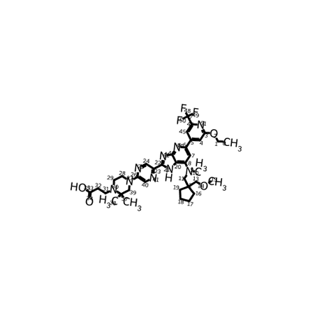 CCOc1cc(-c2cc(N(C)CC3(COC)CCCC3)c3[nH]c(-c4cnc(N5CCN(CCC(=O)O)C(C)(C)C5)cn4)nc3n2)cc(C(F)(F)F)n1